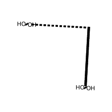 C=C.C=C.C=C.C=C.C=C.C=C.C=C.C=C.C=C.C=C.C=C.C=C.C=C.C=C.C=C.C=C.C=C.C=C.C=C.C=C.C=C.C=C.C=C.C=C.C=C.C=C.C=C.C=C.C=C.C=C.C=C.C=C.C=C.C=C.C=C.C=C.C=C.C=C.C=C.C=C.C=C.C=C.C=C.C=C.C=C.C=C.C=C.C=C.C=C.C=C.C=C.OCCO.OCCO